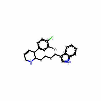 FC(F)(F)c1cc(C2C=CCNC2CCCCc2c[nH]c3ccccc23)ccc1Cl